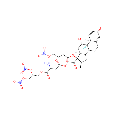 C[C@@H]1CC2C3CCC4=CC(=O)C=C[C@]4(C)[C@@]3(F)[C@@H](O)C[C@]2(C)[C@@]1(OC(=O)CCCO[N+](=O)[O-])C(=O)COC(=O)CC(N)C(=O)OCC(CO[N+](=O)[O-])O[N+](=O)[O-]